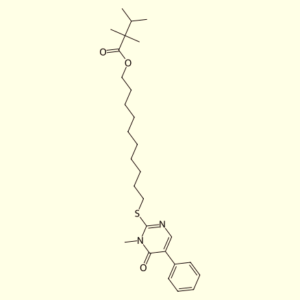 CC(C)C(C)(C)C(=O)OCCCCCCCCCCSc1ncc(-c2ccccc2)c(=O)n1C